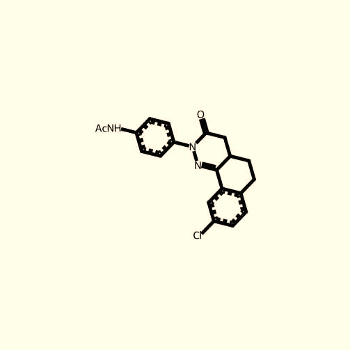 CC(=O)Nc1ccc(N2N=C3c4cc(Cl)ccc4CCC3CC2=O)cc1